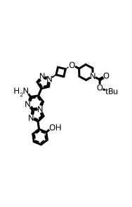 CC(C)(C)OC(=O)N1CCC(O[C@H]2C[C@H](n3cc(-c4cn5cc(-c6ccccc6O)nc5nc4N)cn3)C2)CC1